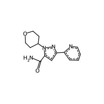 NC(=O)c1cc(-c2ccccn2)nn1C1CCOCC1